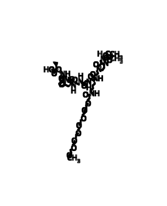 COCCOCCOCCOCCOCCOCCOCCOCCC(=O)NCCCC[C@H](NC(=O)CCN1CCc2nc(S(=O)(=O)C(C)(C)C)ncc2C1=O)C(=O)NCC(=O)NCC(=O)N[C@@H](Cc1ccccc1)C(=O)NCC(=O)NCO[C@H](C(=O)O)C1CC1